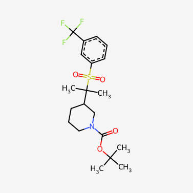 CC(C)(C)OC(=O)N1CCCC(C(C)(C)S(=O)(=O)c2cccc(C(F)(F)F)c2)C1